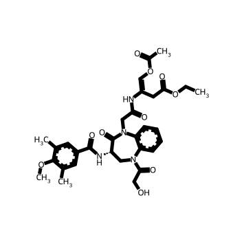 CCOC(=O)C/C(=C\OC(C)=O)NC(=O)CN1C(=O)[C@@H](NC(=O)c2cc(C)c(OC)c(C)c2)CN(C(=O)CO)c2ccccc21